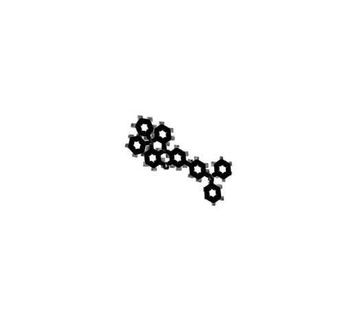 c1ccc(N(c2ccccc2)c2ccc(-c3ccc4c(c3)Oc3cccc5c3B4c3ccccc3S5(c3ccccc3)c3ccccc3)cc2)cc1